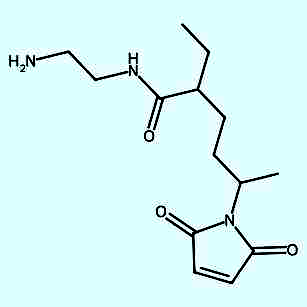 CCC(CCC(C)N1C(=O)C=CC1=O)C(=O)NCCN